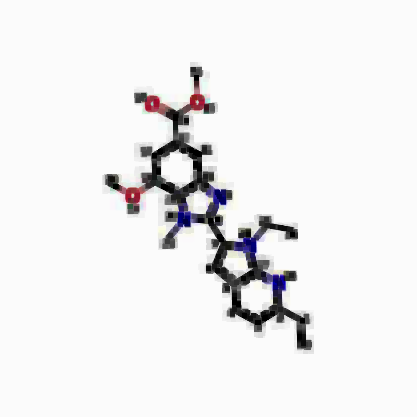 C=Cc1ccc2cc(-c3nc4cc(C(=O)OC)cc(OC)c4n3C)n(CC)c2n1